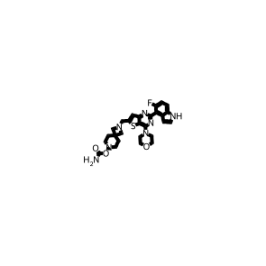 NC(=O)ON1CCC2(CC1)CN(Cc1cc3nc(-c4c(F)ccc5[nH]ccc45)nc(N4CCOCC4)c3s1)C2